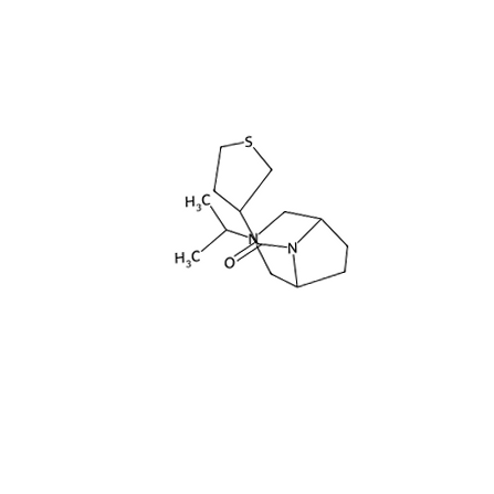 CC(C)N1CC2CCC(C1)N2C(=O)C1CCSC1